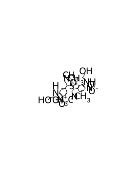 CN(C)CC(c1ccc([N+](=O)[O-])c(NCCO)c1)[S+]([O-])C(CN(C)C)c1ccc([N+](=O)[O-])c(NCCO)c1